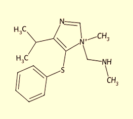 CNC[N+]1(C)C=NC(C(C)C)=C1Sc1ccccc1